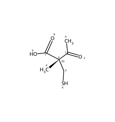 CC(=O)[C@](C)(CS)C(=O)O